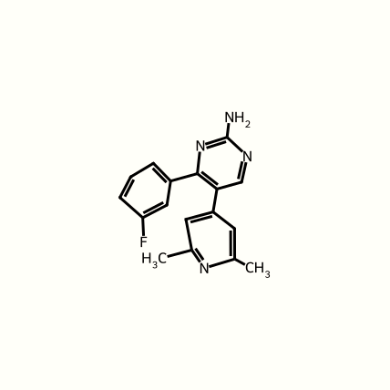 Cc1cc(-c2cnc(N)nc2-c2cccc(F)c2)cc(C)n1